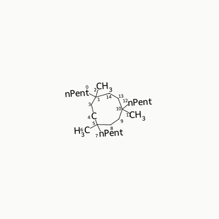 CCCCCC1(C)CCC(C)(CCCCC)CCC(C)(CCCCC)CC1